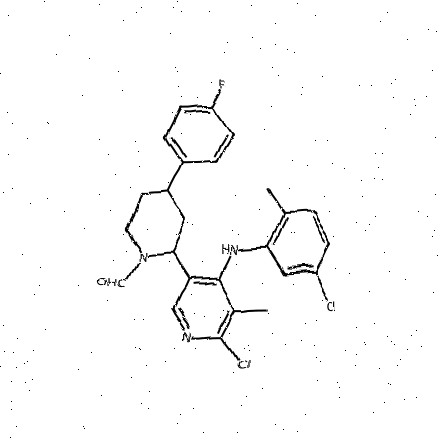 Cc1ccc(Cl)cc1Nc1c(C2CC(c3ccc(F)cc3)CCN2C=O)cnc(Cl)c1C